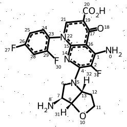 Nc1c(F)c(N2C[C@H](N)[C@H]3OCC[C@H]32)nc2c1c(=O)c(C(=O)O)cn2-c1ccc(F)cc1F